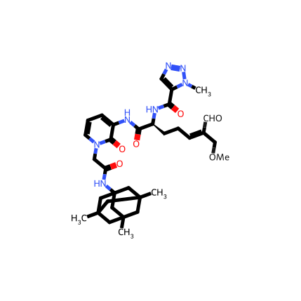 COC/C(C=O)=C/CC[C@H](NC(=O)c1cnnn1C)C(=O)Nc1cccn(CC(=O)NC23CC4(C)CC(C)(CC(C)(C4)C2)C3)c1=O